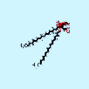 CCCCCCCCCCCCCCCCCCOC12CC(=O)OCC3(COC(=O)C1(CCCCCCCCCCCCCCCCCC)C3)COC2=O